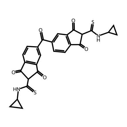 O=C(c1ccc2c(c1)C(=O)C(C(=S)NC1CC1)C2=O)c1ccc2c(c1)C(=O)C(C(=S)NC1CC1)C2=O